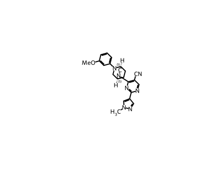 COc1cccc(N2C[C@@H]3CC[C@H]2CN3c2nc(-c3cnn(C)c3)ncc2C#N)c1